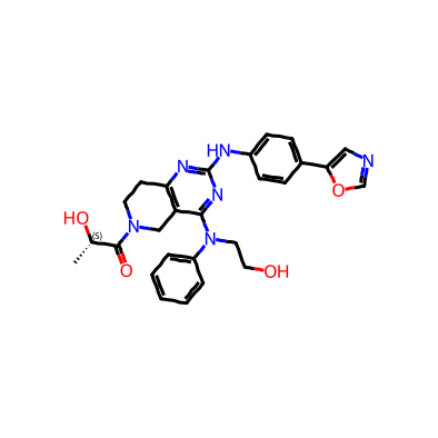 C[C@H](O)C(=O)N1CCc2nc(Nc3ccc(-c4cnco4)cc3)nc(N(CCO)c3ccccc3)c2C1